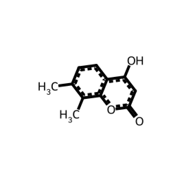 Cc1ccc2c(O)cc(=O)oc2c1C